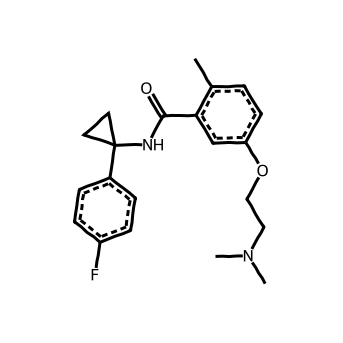 Cc1ccc(OCCN(C)C)cc1C(=O)NC1(c2ccc(F)cc2)CC1